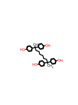 CC(CCCCCCC(C)(c1ccc(O)cc1)c1ccc(O)cc1)(c1ccc(O)cc1)c1ccc(O)cc1